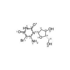 Nc1c(Br)c(=O)[nH]c(=O)n1[C@@H]1CC(O)[C@H](CO)O1